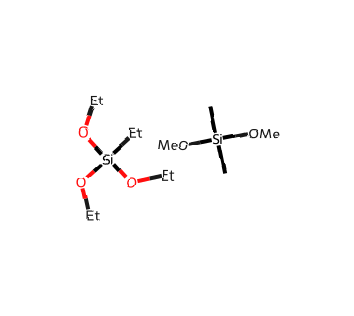 CCO[Si](CC)(OCC)OCC.CO[Si](C)(C)OC